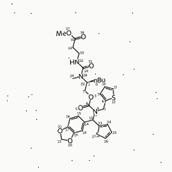 CCCC[C@@H](COC(=O)N(Cc1cccs1)C(c1ccc2c(c1)OCO2)c1cccs1)N(C)C(=O)NCCC(=O)OC